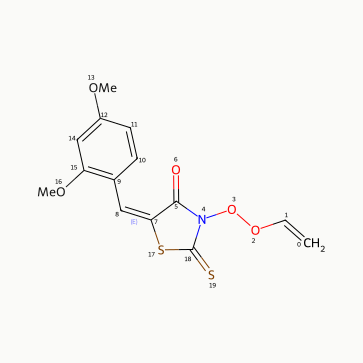 C=COON1C(=O)/C(=C\c2ccc(OC)cc2OC)SC1=S